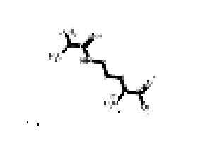 CC(C)C(=N)NCCCC(N)C(=O)O